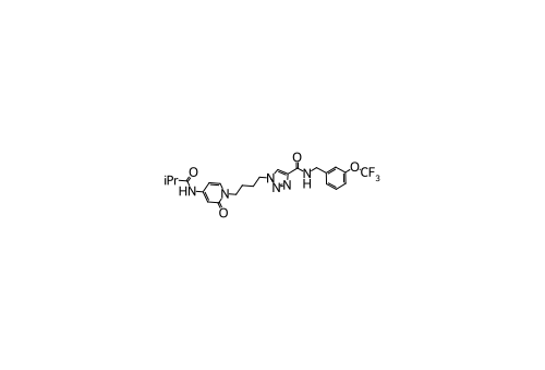 CC(C)C(=O)Nc1ccn(CCCCn2cc(C(=O)NCc3cccc(OC(F)(F)F)c3)nn2)c(=O)c1